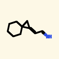 N=C/C=C1\CC12CCCCC2